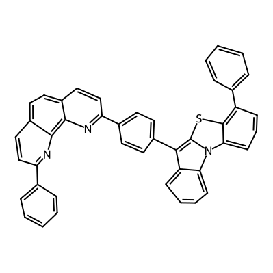 c1ccc(-c2ccc3ccc4ccc(-c5ccc(-c6c7ccccc7n7c6sc6c(-c8ccccc8)cccc67)cc5)nc4c3n2)cc1